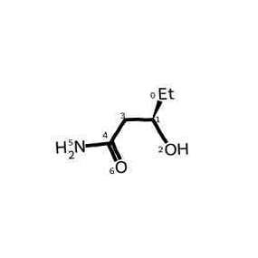 CC[C@@H](O)CC(N)=O